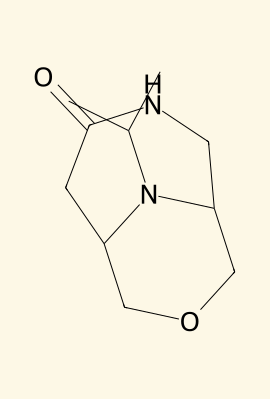 CC(C)N1C2CNC(=O)CC1COC2